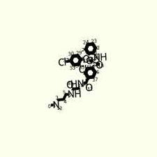 CN(C)CCCNC(=O)CNC(=O)c1ccc(S(=O)(=O)Nc2ccccc2Oc2ccc(Cl)cc2Cl)cc1